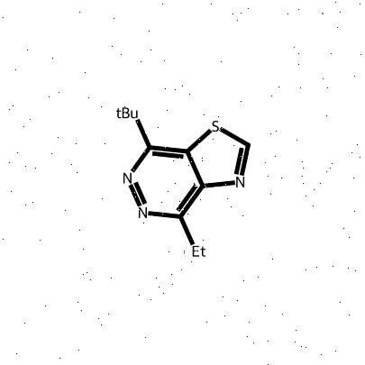 CCc1nnc(C(C)(C)C)c2scnc12